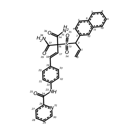 C=CC(c1ccc2ccccc2c1)S(=O)(=O)C(C=Cc1ccc(NC(=O)c2ccccn2)cc1)(C(N)=O)C(N)=O